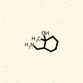 CC1(O)CCCCC1CN